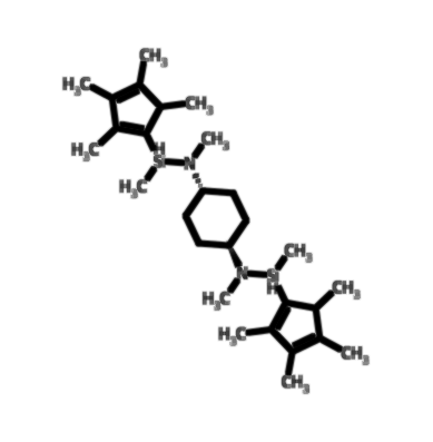 CC1=C(C)C(C)C([SiH](C)N(C)[C@H]2CC[C@H](N(C)[SiH](C)C3=C(C)C(C)=C(C)C3C)CC2)=C1C